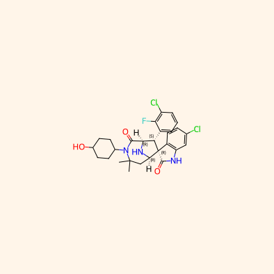 CC1(C)C[C@H]2N[C@@H](C(=O)N1C1CCC(O)CC1)[C@H](c1cccc(Cl)c1F)[C@]21C(=O)Nc2cc(Cl)ccc21